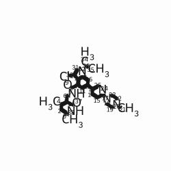 Cc1cc(C)c(CNC(=O)c2cc(-c3ccc(N4CCN(C)CC4)nc3)cc3c2c(Cl)cn3C(C)C)c(=O)[nH]1